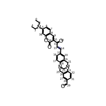 CCN(CC)c1ccc2cc(C(=O)/C=C/c3ccc4c(c3)CN3CN4Cc4cc(C=O)ccc43)c(=O)oc2c1